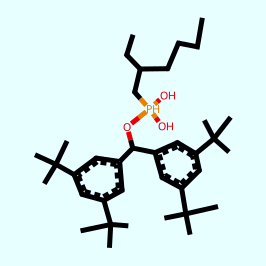 CCCCC(CC)C[PH](O)(O)OC(c1cc(C(C)(C)C)cc(C(C)(C)C)c1)c1cc(C(C)(C)C)cc(C(C)(C)C)c1